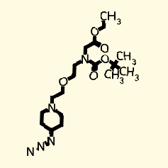 CCOC(=O)CN(CCOCCN1CCC(N=[N+]=[N-])CC1)C(=O)OC(C)(C)C